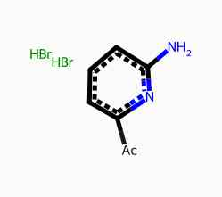 Br.Br.CC(=O)c1cccc(N)n1